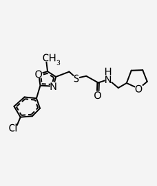 Cc1oc(-c2ccc(Cl)cc2)nc1CSCC(=O)NCC1CCCO1